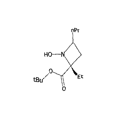 CCCC1C[C@](CC)(C(=O)OC(C)(C)C)N1O